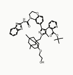 Cc1c(-c2cccnc2C(=O)OC(C)(C)C)c(-c2ccc3c(c2)N(C(=O)Nc2nc4ccccc4s2)CCO3)nn1CC12CC3(C)CC(C)(C1)CC(OCCO)(C3)C2